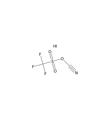 I.N#COS(=O)(=O)C(F)(F)F